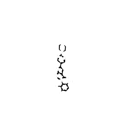 Cc1ccc(O)c(C)c1-n1cnc2[nH]c(-c3cnc(N4CCOCC4)nc3)cc2c1=O